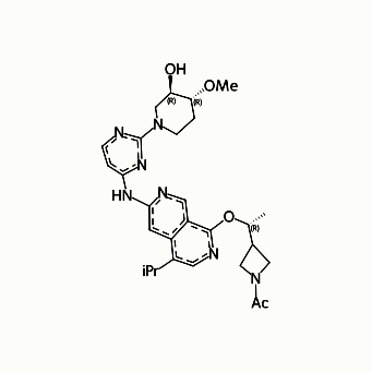 CO[C@@H]1CCN(c2nccc(Nc3cc4c(C(C)C)cnc(O[C@H](C)C5CN(C(C)=O)C5)c4cn3)n2)C[C@H]1O